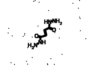 NNC(=O)C=CC(=O)NN